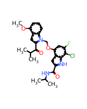 COc1cccc2c1cc(C(=O)C(C)C)n2COc1cc(F)c(Cl)c2[nH]c(C(=O)NC(C)C)cc12